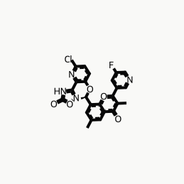 Cc1cc([C@@H](C)Oc2ccc(Cl)nc2-c2noc(=O)[nH]2)c2oc(-c3cncc(F)c3)c(C)c(=O)c2c1